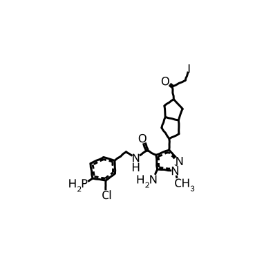 Cn1nc(C2CC3CC(C(=O)CI)CC3C2)c(C(=O)NCc2ccc(P)c(Cl)c2)c1N